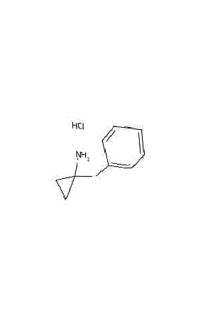 Cl.NC1(Cc2ccccc2)CC1